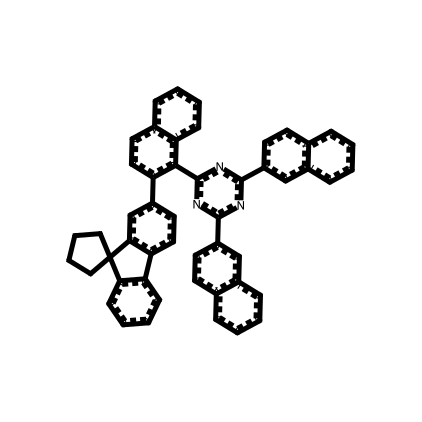 c1ccc2c(c1)-c1ccc(-c3ccc4ccccc4c3-c3nc(-c4ccc5ccccc5c4)nc(-c4ccc5ccccc5c4)n3)cc1C21CCCC1